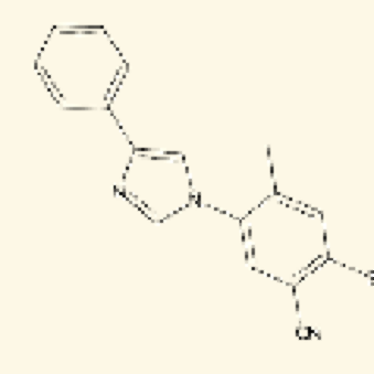 Cc1cc(F)c(C#N)cc1-n1cnc(-c2ccccc2)c1